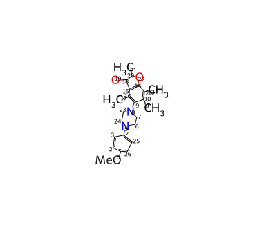 COc1ccc(N2CCN(c3c(C)c(C)c4c(c3C)C(=O)C(C)O4)CC2)cc1